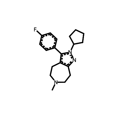 CN1CCc2nn(C3CCCC3)c(-c3ccc(F)cc3)c2CC1